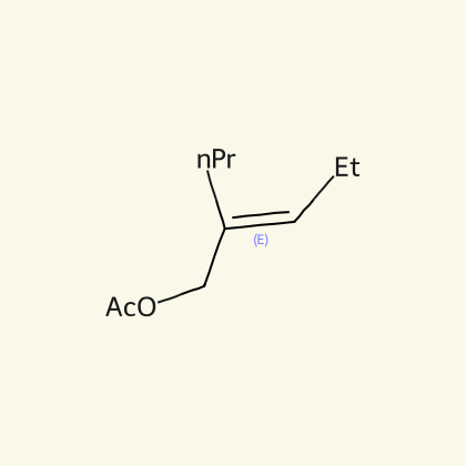 CC/C=C(\CCC)COC(C)=O